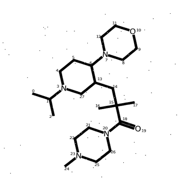 CC(C)N1CCC(N2CCOCC2)C(CC(C)(C)C(=O)N2CCN(C)CC2)C1